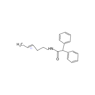 C/C=C/CCCNC(=O)C(c1ccccc1)c1ccccc1